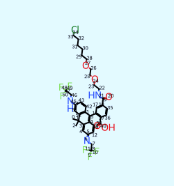 CC1(C)C2=C/C(=N/CC(F)(F)F)C=CC2=C(c2cc(C(=O)NCCOCCOCCCCCCCl)ccc2C(=O)O)c2ccc(NCC(F)(F)F)cc21